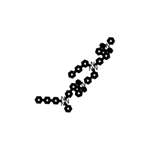 c1ccc(-c2ccc(-c3ccc(-c4nc(-c5ccccc5)nc(-c5ccc(-c6cccc7c6-c6ccccc6C76c7ccccc7N(c7ccc(-c8cccc(-c9nc(-c%10ccc(-c%11cccc%12c%11-c%11ccccc%11C%12%11c%12ccccc%12N(c%12ccccc%12)c%12ccccc%12%11)cc%10)nc(-c%10cccc(-c%11ccc(-c%12ccccc%12)cc%11)c%10)n9)c8)cc7)c7ccccc76)cc5)n4)cc3)cc2)cc1